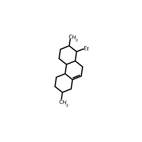 CCC1C(C)CCC2C3CCC(C)CC3=CCC12